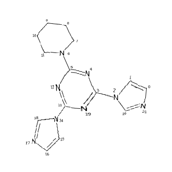 c1cn(-c2nc(N3CCCCC3)nc(-n3ccnc3)n2)cn1